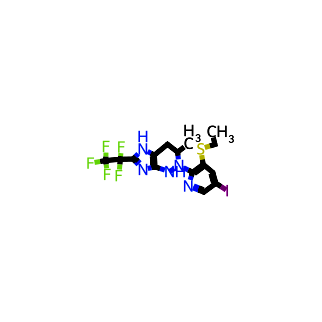 CCSc1cc(I)cnc1N1Nc2nc(C(F)(F)C(F)(F)F)[nH]c2CC1C